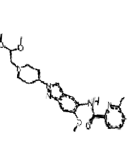 COc1cc2nn(C3CCN(CC(OC)OC)CC3)cc2cc1NC(=O)c1cccc(C)n1